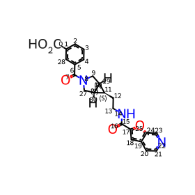 O=C(O)c1cccc(C(=O)N2C[C@@H]3[C@@H](CCNC(=O)c4cc5ccncc5o4)[C@@H]3C2)c1